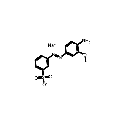 COc1cc(N=Nc2cccc(S(=O)(=O)[O-])c2)ccc1N.[Na+]